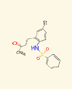 CCc1ccc(NS(=O)(=O)c2ccccc2)c(/C=C/C(=O)OC)c1